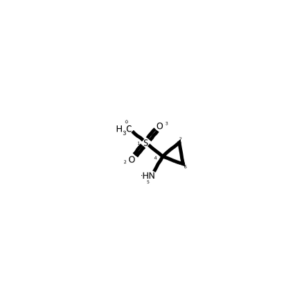 CS(=O)(=O)C1([NH])CC1